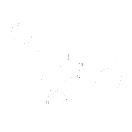 Cc1cccc(CN2NNN=C2c2cn[nH]c2CCSCc2ccccc2)c1